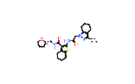 O=C(Cn1nc(C(F)(F)F)c2c1CCCC2)Nc1sc2c(c1C(=O)NC[C@@H]1CCCO1)CCCC2